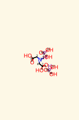 CN(CC(=O)O)CC(=O)O.O=[PH](O)O.O=[PH](O)O